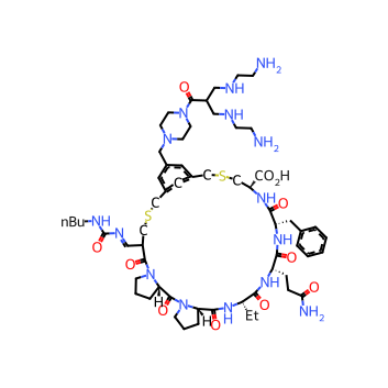 CCCCNC(=O)/N=C/C1CSCc2cc(cc(CN3CCN(C(=O)C(CNCCN)CNCCN)CC3)c2)CSC[C@@H](C(=O)O)NC(=O)[C@H](Cc2ccccc2)NC(=O)[C@H](CCC(N)=O)NC(=O)[C@H](CC)NC(=O)[C@@H]2CCCN2C(=O)[C@@H]2CCCN2C1=O